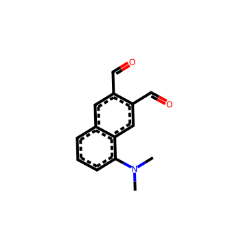 CN(C)c1cccc2cc(C=O)c(C=O)cc12